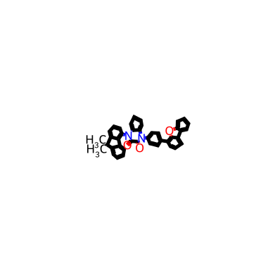 CC1(C)c2ccccc2-c2c(-n3c(=O)c(=O)n(-c4ccc(-c5cccc6c5oc5ccccc56)cc4)c4ccccc43)cccc21